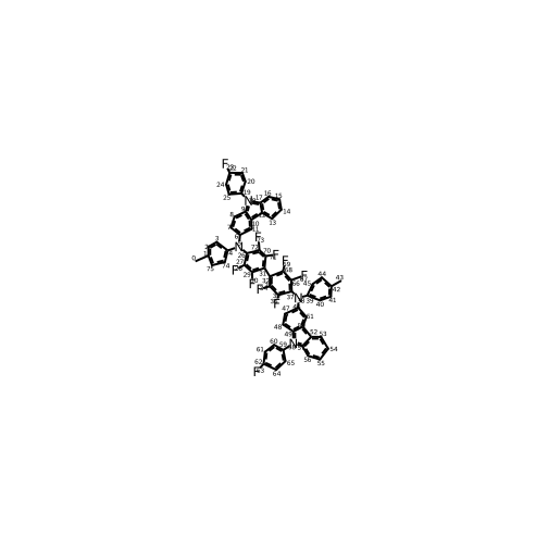 Cc1ccc(N(c2ccc3c(c2)c2ccccc2n3-c2ccc(F)cc2)c2c(F)c(F)c(-c3c(F)c(F)c(N(c4ccc(C)cc4)c4ccc5c(c4)c4ccccc4n5-c4ccc(F)cc4)c(F)c3F)c(F)c2F)cc1